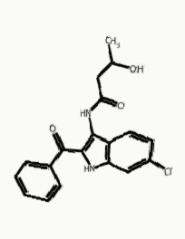 CC(O)CC(=O)Nc1c(C(=O)c2ccccc2)[nH]c2cc(Cl)ccc12